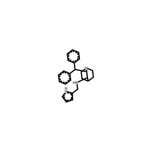 c1ccc(C(c2ccccc2)C2C(NCc3ccc[nH]3)C3CCN2CC3)cc1